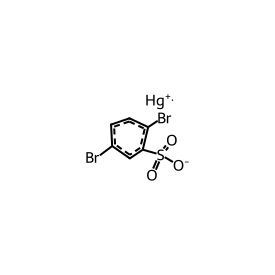 O=S(=O)([O-])c1cc(Br)ccc1Br.[Hg+]